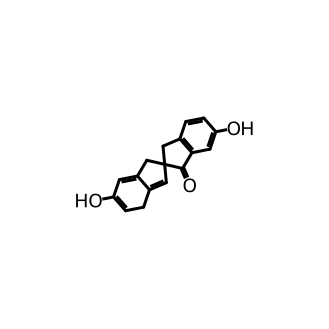 O=C1c2cc(O)ccc2CC12C=C1CC=C(O)C=C1C2